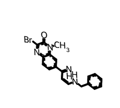 Cn1c(=O)c(Br)nc2ccc(C(=N)/C=C\NCc3ccccc3)cc21